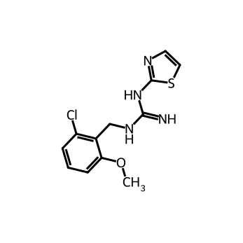 COc1cccc(Cl)c1CNC(=N)Nc1nccs1